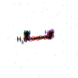 CC1(C)CN(CCOCCOCCCCOCCOCCCCOCCOc2cccc3c2C(=O)N(C2CCC(=O)NC2=O)C3=O)C(=O)C1Oc1ccc(C#N)c(C(F)(F)F)c1